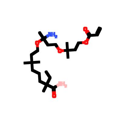 BC(=O)C(C)(CC)CCCC(C)(C)CCOC(C)(N)CCOC(C)(C)CCOC(=O)C=C